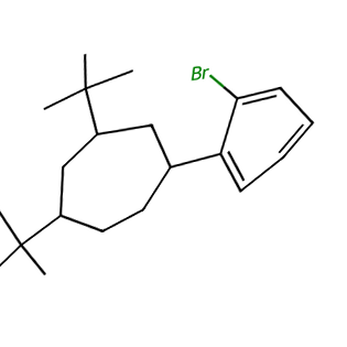 CC(C)(C)C1CCC(c2ccccc2Br)CC(C(C)(C)C)C1